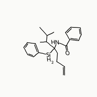 C=CCCC(NC(=O)c1ccccc1)([SiH2]c1ccccc1)C(C)C(C)C